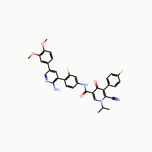 COc1ccc(-c2cnc(N)c(-c3ccc(NC(=O)c4cn(C(C)C)c(C#N)c(-c5ccc(F)cc5)c4=O)cc3F)c2)cc1OC